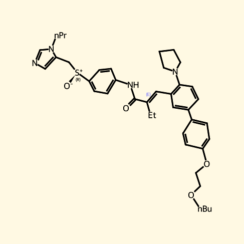 CCCCOCCOc1ccc(-c2ccc(N3CCCC3)c(/C=C(\CC)C(=O)Nc3ccc([S@@+]([O-])Cc4cncn4CCC)cc3)c2)cc1